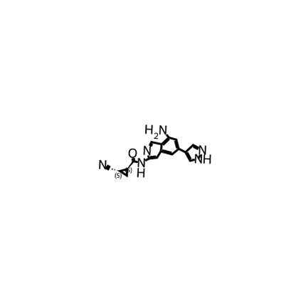 N#C[C@H]1C[C@@H]1C(=O)Nc1cc2cc(-c3cn[nH]c3)cc(N)c2cn1